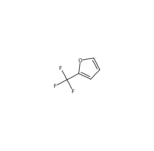 FC(F)(F)c1cc[c]o1